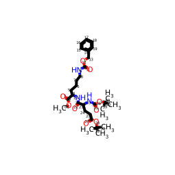 COC(=O)C(CCCCNC(=O)OCc1ccccc1)NC(=O)C(CCC(=O)OC(C)(C)C)NC(=O)OC(C)(C)C